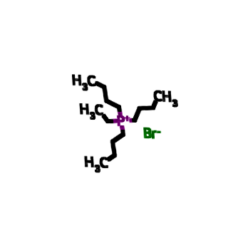 CCCC[P+](CC)(CCCC)CCCC.[Br-]